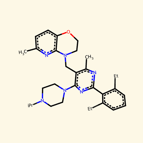 CCc1cccc(CC)c1-c1nc(C)c(CN2CCOc3ccc(C)nc32)c(N2CCN(C(C)C)CC2)n1